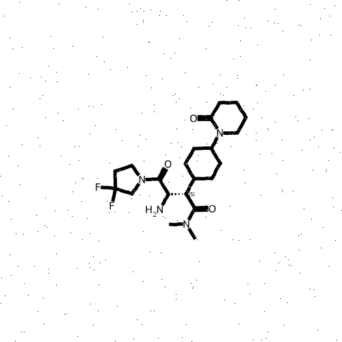 CN(C)C(=O)[C@@H](C1CCC(N2CCCCC2=O)CC1)C(N)C(=O)N1CCC(F)(F)C1